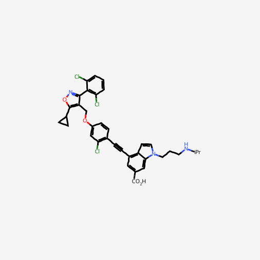 CC(C)NCCCn1ccc2c(C#Cc3ccc(OCc4c(-c5c(Cl)cccc5Cl)noc4C4CC4)cc3Cl)cc(C(=O)O)cc21